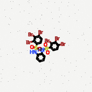 O=S(=O)(Nc1ccccc1NS(=O)(=O)c1ccc(Br)c(Br)c1Br)c1ccc(Br)c(Br)c1Br